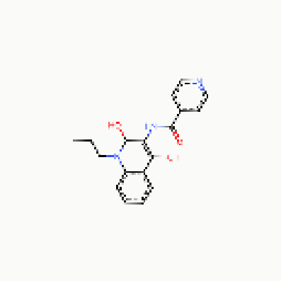 CCCN1c2ccccc2C(O)=C(NC(=O)c2ccncc2)C1O